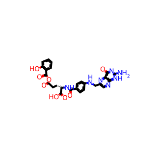 Nc1nc(=O)c2nc(CNc3ccc(C(=O)N[C@@H](CCC(=O)OC(=O)c4ccccc4O)C(=O)O)cc3)cnc2[nH]1